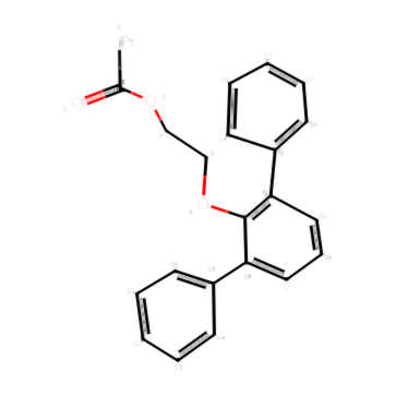 CC(C)C(=O)OCCOc1c(-c2ccccc2)cccc1-c1ccccc1